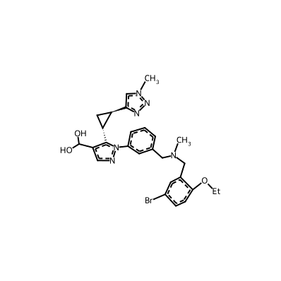 CCOc1ccc(Br)cc1CN(C)Cc1cccc(-n2ncc(C(O)O)c2[C@@H]2C[C@H]2c2cn(C)nn2)c1